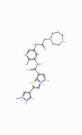 Cc1ncc(NC(=O)CN2CCCOCC2)cc1NC(=O)c1cnn2cc(-c3cnn(C)c3)sc12